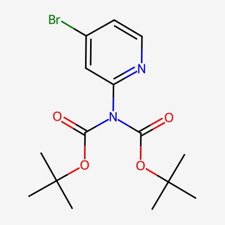 CC(C)(C)OC(=O)N(C(=O)OC(C)(C)C)c1cc(Br)ccn1